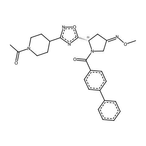 CON=C1C[C@@H](c2nc(C3CCN(C(C)=O)CC3)no2)N(C(=O)c2ccc(-c3ccccc3)cc2)C1